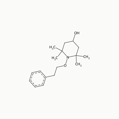 CC1(C)CC(O)CC(C)(C)N1OCCc1ccccc1